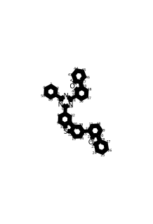 c1ccc(-c2nc(-c3ccc4sc5ccc(-c6cccc7c6oc6ccccc67)cc5c4c3)nc(-c3cccc4c3oc3ccccc34)n2)cc1